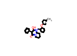 Cc1ccc(Oc2ccccc2C[n+]2c(O)c(-c3ccccc3)c(=O)n3ccccc32)cc1